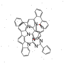 c1ccc(-c2cc(-c3ccccc3-c3ccccc3)nc(-c3ccccc3-n3c4ccccc4c4ccc5c6ccccc6n(-c6nc(-c7ccccc7)nc(-c7ccccc7)n6)c5c43)n2)cc1